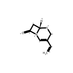 C=CC1=CN2C(=O)C[C@@H]2SC1